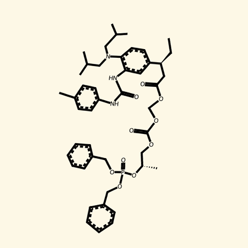 CC[C@@H](CC(=O)OCOC(=O)OC[C@H](C)OP(=O)(OCc1ccccc1)OCc1ccccc1)c1ccc(N(CC(C)C)CC(C)C)c(NC(=O)Nc2ccc(C)cc2)c1